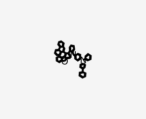 c1ccc(-c2ccc(N(c3ccccc3)c3ccc(-n4c5ccccc5c5c(-c6cc7ccccc7c7ccccc67)c6c(cc54)oc4ccccc46)cc3)cc2)cc1